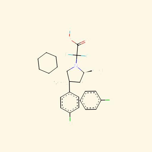 N#C[C@]1(c2ccc(Cl)cc2)[C@H](C2CCCCC2)N(C(F)(F)C(=O)OF)[C@@H](C(=O)O)[C@@H]1c1cccc(Cl)c1